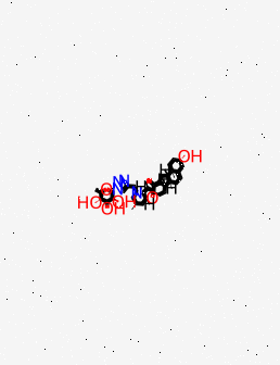 CC1=C2C[C@H]3[C@@H](CC=C4C[C@@H](O)CC[C@@]43C)[C@@H]2CC[C@]12O[C@@H]1C[C@H](C)CN(Cc3cn([C@H]4OC(C)[C@@H](O)C(O)[C@@H]4O)nn3)[C@H]1[C@H]2C